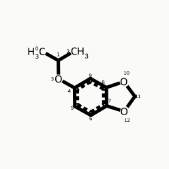 CC(C)Oc1ccc2c(c1)OCO2